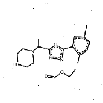 CCOC=O.Cc1ccc(F)c(-c2nnc(C(C)N3CCNCC3)o2)c1